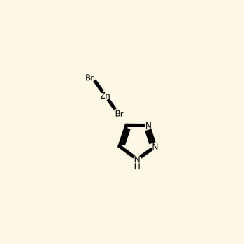 [Br][Zn][Br].c1c[nH]nn1